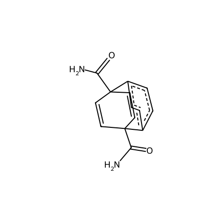 NC(=O)C12C=CC(C(N)=O)(C=C1)c1ccc2cc1